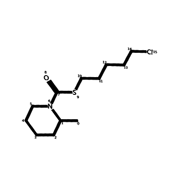 CC1CCCCN1C(=O)SCCCCCCl